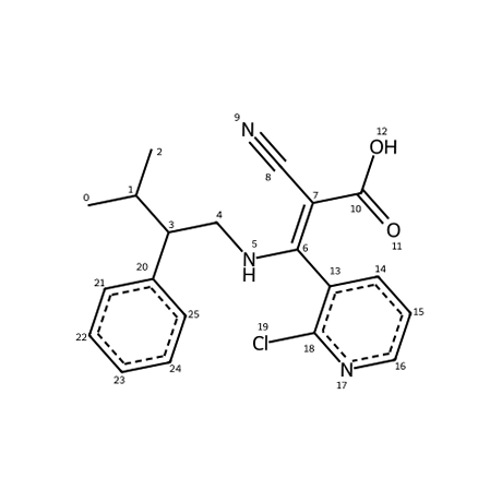 CC(C)C(CNC(=C(C#N)C(=O)O)c1cccnc1Cl)c1ccccc1